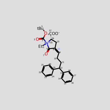 CC[N+]1(C(=O)OC(C)(C)C)C(=O)/C(=C\CCC(c2ccccc2)c2ccccc2)C[C@H]1C(=O)[O-]